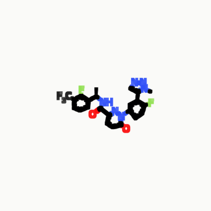 C[C@@H](NC(=O)c1ccc(=O)n(-c2ccc(F)c(-c3cnnn3C)c2)n1)c1cccc(C(F)(F)F)c1F